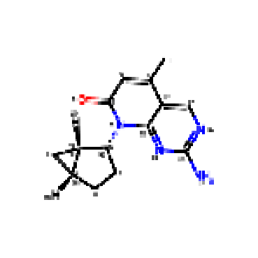 Cc1cc(=O)n([C@@H]2CC[C@@H]3C[C@@H]32)c2nc(N)ncc12